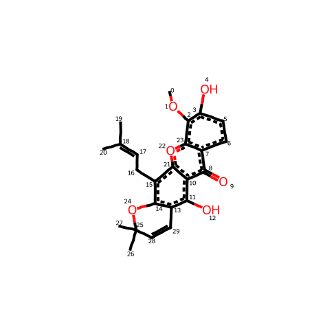 COc1c(O)ccc2c(=O)c3c(O)c4c(c(CC=C(C)C)c3oc12)OC(C)(C)C=C4